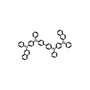 c1ccc(N(c2ccc(-c3ccc(N(c4ccccc4)c4ccc(N(c5ccccc5)c5ccc6ccccc6c5)cc4)cc3)cc2)c2ccc(N(c3ccccc3)c3ccc4ccccc4c3)cc2)cc1